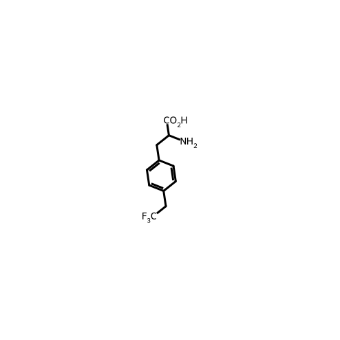 NC(Cc1ccc(CC(F)(F)F)cc1)C(=O)O